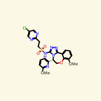 COc1cccc([C@H]2COc3c(OC)cccc3-c3nnc(NS(=O)(=O)CCc4ncc(Cl)cn4)n32)n1